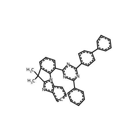 CC1(C)c2cccc(-c3nc(-c4ccccc4)nc(-c4ccc(-c5ccccc5)cc4)n3)c2-n2c1nc1ccccc12